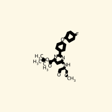 COC[C@@H](C=O)Nc1cc(C(=O)OC(C)(C)C)nc(-c2ccc(Oc3ccc(F)cc3)cc2)n1